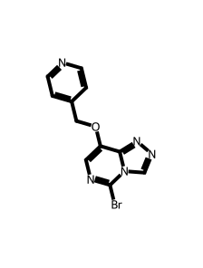 Brc1ncc(OCc2ccncc2)c2nncn12